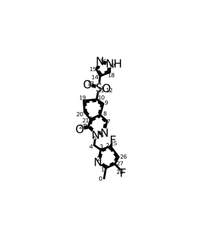 Cc1nc(Cn2ncc3cc(S(=O)(=O)c4cn[nH]c4)ccc3c2=O)c(F)cc1F